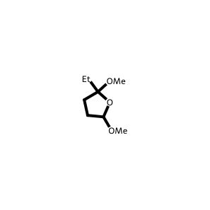 CCC1(OC)CCC(OC)O1